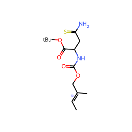 C/C=C(\C)COC(=O)NC(CC(N)=S)C(=O)OC(C)(C)C